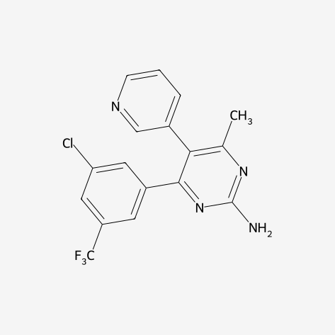 Cc1nc(N)nc(-c2cc(Cl)cc(C(F)(F)F)c2)c1-c1cccnc1